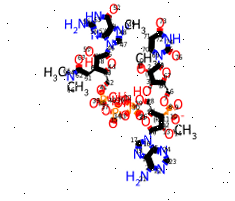 CO[C@@H]1[C@H](O)[C@@H](COP(=O)([O-])[C@H]2[C@@H](OC)[C@H](n3cnc4c(N)ncnc43)O[C@@H]2COP(=O)(O)OP(=O)(O)OP(=O)(O)OC[C@H]2OC(n3c[n+](C)c4c(=O)[nH]c(N)nc43)[C@H](O)[C@@H]2CC(=O)N(C)C)O[C@H]1n1ccc(=O)[nH]c1=O